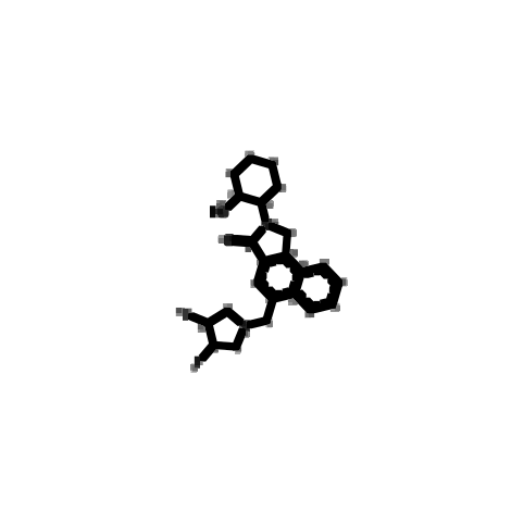 O=C1c2cc(CN3CC(F)C(F)C3)c3ccccc3c2CN1C1CCCCC1O